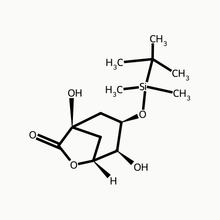 CC(C)(C)[Si](C)(C)O[C@@H]1C[C@]2(O)C[C@@H](OC2=O)[C@@H]1O